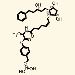 CC(NC(=O)CCC/C=C\C[C@@H]1[C@@H](CC[C@@H](O)CCc2ccccc2)[C@H](O)C[C@@H]1O)C(=O)Oc1ccc(CON(O)O)cc1